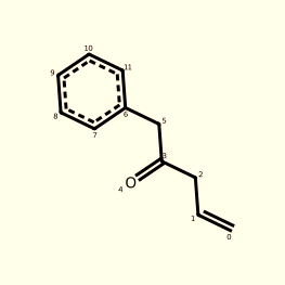 C=CCC(=O)Cc1ccccc1